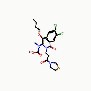 CCCCOc1c(N(C)C(=O)O)n(CCC(=O)N2CCSC2)c(=O)c2cc(Cl)c(Cl)cc12